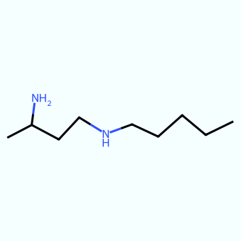 CCCCCNCCC(C)N